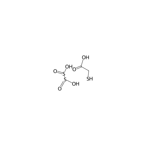 O=C(O)CS.O=S(O)S(=O)O